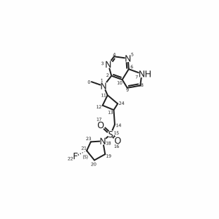 CN(c1ncnc2[nH]ccc12)C1CC(CS(=O)(=O)N2CC[C@H](F)C2)C1